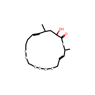 CC1/C=C/CCCCCCCCCC/C=C/C(C)CC(O)C(=O)C1